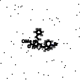 CCCC1(C(=O)OC)CC(C[C@@H](C)[C@H]2CC[C@H]3/C(=C/Br)CCC[C@]23C)N(CCc2ccccc2)O1